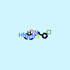 O=C1[C@@H]2CNCCN2CCN1c1ncc(-c2cccc(Cl)c2)s1